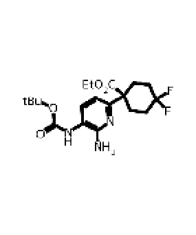 CCOC(=O)C1(c2ccc(NC(=O)OC(C)(C)C)c(N)n2)CCC(F)(F)CC1